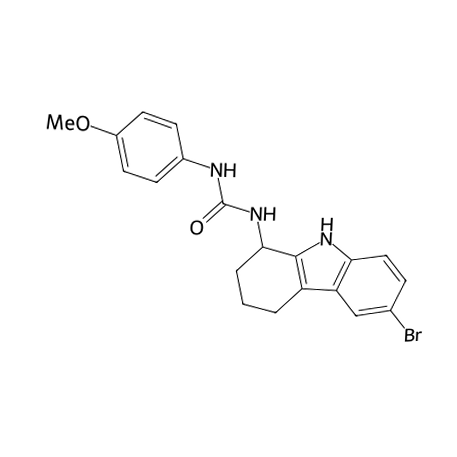 COc1ccc(NC(=O)NC2CCCc3c2[nH]c2ccc(Br)cc32)cc1